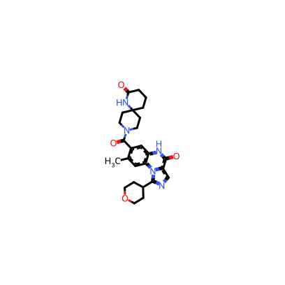 Cc1cc2c(cc1C(=O)N1CCC3(CCCC(=O)N3)CC1)[nH]c(=O)c1cnc(C3CCOCC3)n12